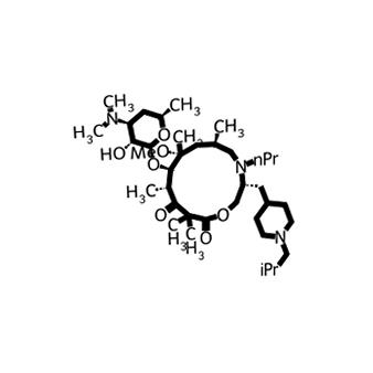 CCCN1C[C@H](C)C[C@@](C)(OC)[C@H](O[C@@H]2O[C@H](C)C[C@H](N(C)C)[C@H]2O)[C@@H](C)C(=O)C(C)(C)C(=O)OC[C@H]1CC1CCN(CC(C)C)CC1